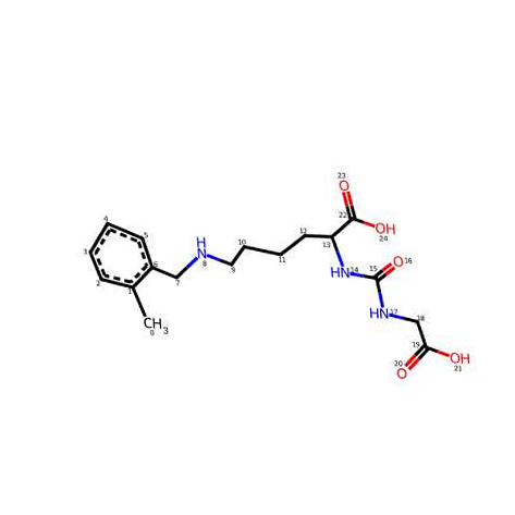 Cc1ccccc1CNCCCCC(NC(=O)NCC(=O)O)C(=O)O